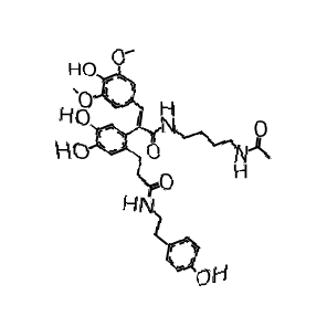 COc1cc(/C=C(/C(=O)NCCCCNC(C)=O)c2cc(O)c(O)cc2CCC(=O)NCCc2ccc(O)cc2)cc(OC)c1O